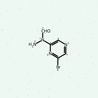 NN(C=O)c1cncc(Br)n1